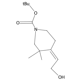 CC(C)(C)OC(=O)N1CC/C(=C/CO)C(C)(C)C1